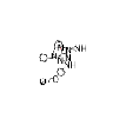 COCCOc1ccc(Nc2nc(N(Cc3ccccc3)Cc3ccccc3)c3ncn(C4CNC4)c3n2)cc1